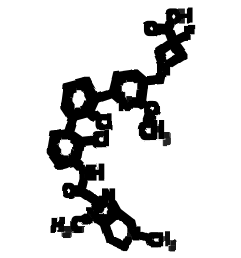 COc1nc(-c2cccc(-c3cccc(NC(=O)c4nc5c(n4C)CCN(C)C5)c3Cl)c2Cl)ccc1CN1CC(F)(C(=O)O)C1